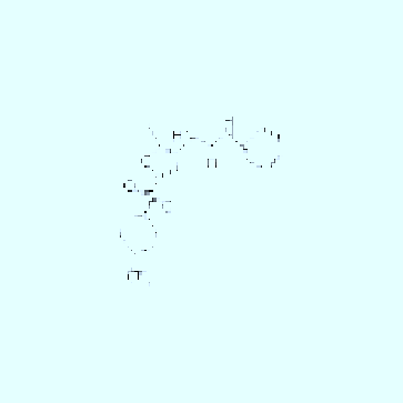 Cc1oc(S(=O)(=O)N2CCC(C(F)(F)F)CC2)cc1NC(=O)Nc1ccccc1